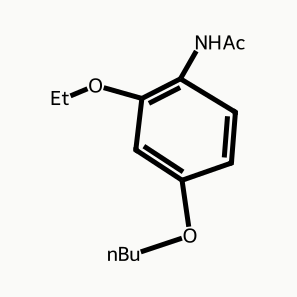 [CH2]C(=O)Nc1ccc(OCCCC)cc1OCC